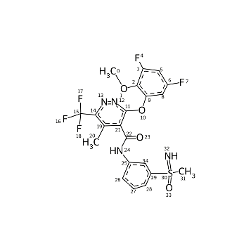 COc1c(F)cc(F)cc1Oc1nnc(C(F)(F)F)c(C)c1C(=O)Nc1cccc(S(C)(=N)=O)c1